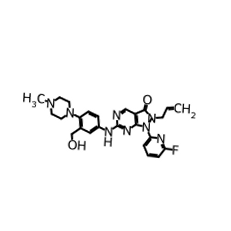 C=CCn1c(=O)c2cnc(Nc3ccc(N4CCN(C)CC4)c(CO)c3)nc2n1-c1cccc(F)n1